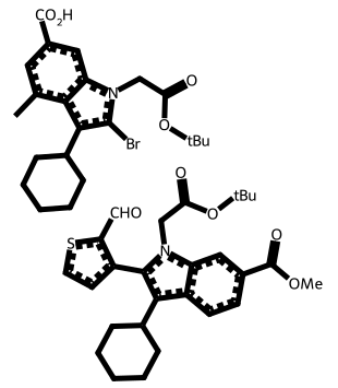 COC(=O)c1ccc2c(C3CCCCC3)c(-c3ccsc3C=O)n(CC(=O)OC(C)(C)C)c2c1.Cc1cc(C(=O)O)cc2c1c(C1CCCCC1)c(Br)n2CC(=O)OC(C)(C)C